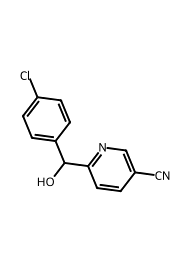 N#Cc1ccc(C(O)c2ccc(Cl)cc2)nc1